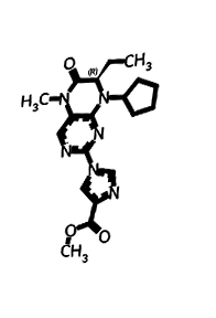 CC[C@@H]1C(=O)N(C)c2cnc(-n3cnc(C(=O)OC)c3)nc2N1C1CCCC1